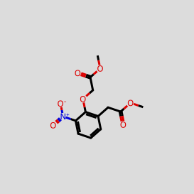 COC(=O)COc1c(CC(=O)OC)cccc1[N+](=O)[O-]